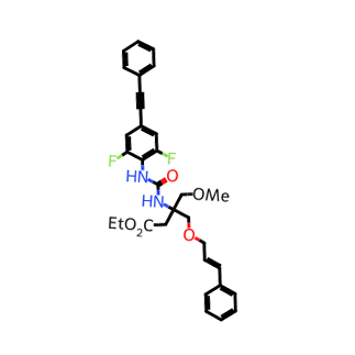 CCOC(=O)CC(COC)(COC/C=C/c1ccccc1)NC(=O)Nc1c(F)cc(C#Cc2ccccc2)cc1F